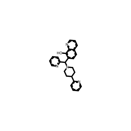 Oc1c(C(c2ccccn2)N2CCC(c3ccccn3)CC2)ccc2cccnc12